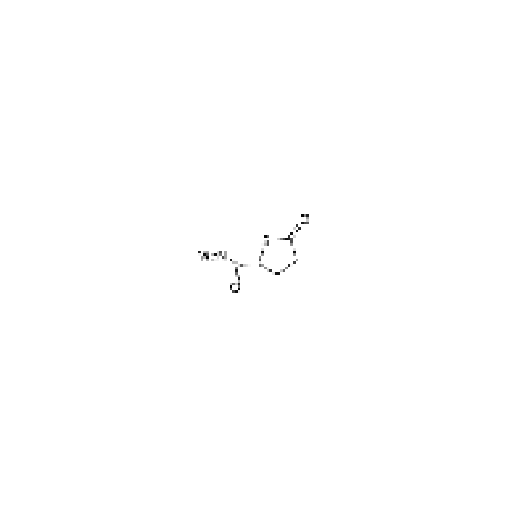 CNC(=O)C1CCC(=O)S1